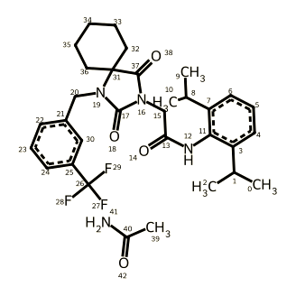 CC(C)c1cccc(C(C)C)c1NC(=O)CN1C(=O)N(Cc2cccc(C(F)(F)F)c2)C2(CCCCC2)C1=O.CC(N)=O